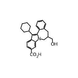 O=C(O)c1ccc2c(C3CCCCC3)c3n(c2c1)CC(CO)Cc1ccccc1-3